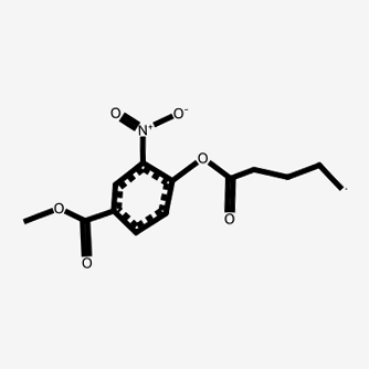 [CH2]CCCC(=O)Oc1ccc(C(=O)OC)cc1[N+](=O)[O-]